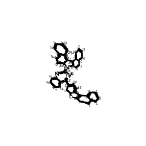 c1ccc2c(c1)ccc1oc3cc(-c4nc(-n5c6ccc7ccccc7c6c6c7ccccc7ccc65)nc5ccccc45)ccc3c12